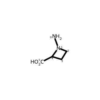 NN1CCC1C(=O)O